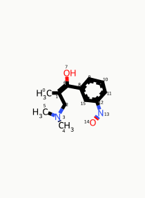 C/C(CN(C)C)=C(\O)c1cccc(N=O)c1